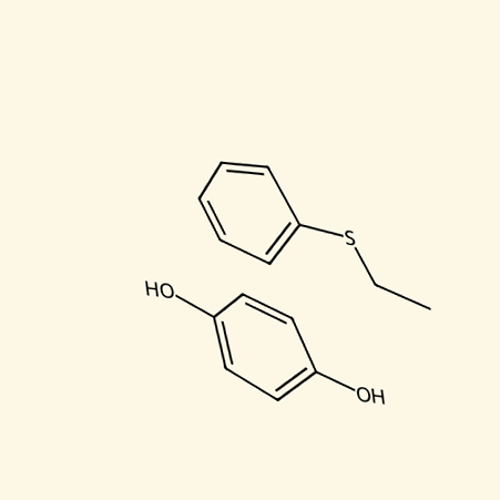 CCSc1ccccc1.Oc1ccc(O)cc1